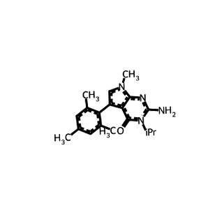 Cc1cc(C)c(-c2cn(C)c3nc(N)n(C(C)C)c(=O)c23)c(C)c1